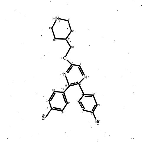 Brc1ccc(-c2ncc(OCC3CCNCC3)nc2-c2ccc(Br)cc2)cc1